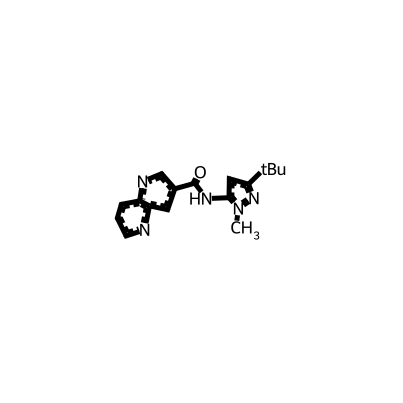 Cn1nc(C(C)(C)C)cc1NC(=O)c1cnc2cccnc2c1